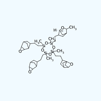 CC1O[C@H]2CC1CC2CC[Si]1(C)O[Si](C)(CCC2CC3CC2C2OC32)O[Si](C)(CCC2CC3CC2C2OC32)O[Si](C)(CCC2CC3CC24CC3O4)O1